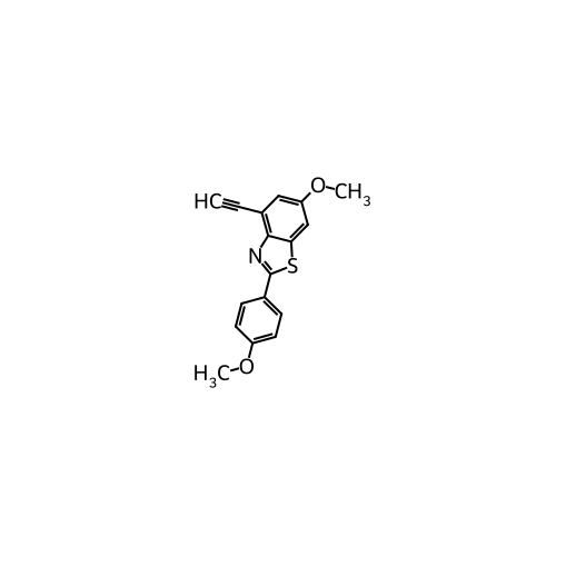 C#Cc1cc(OC)cc2sc(-c3ccc(OC)cc3)nc12